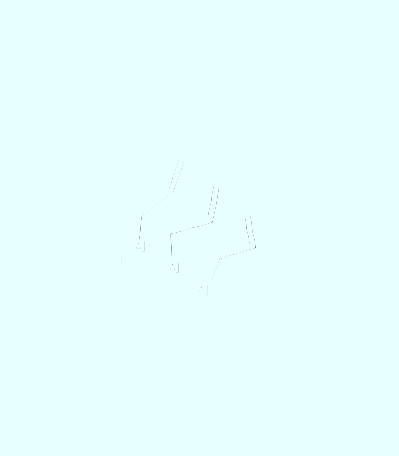 C=C[CH2][Al+2].C=C[CH2][Al+2].C=C[CH2][Al+2].[P-3].[P-3]